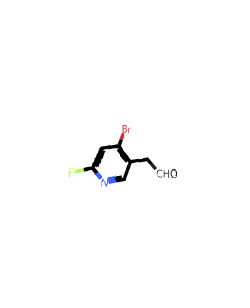 O=CCc1cnc(F)cc1Br